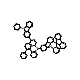 c1ccc(-c2ccccc2-c2ccccc2N(c2ccc(-c3ccc4c(c3)c3ccccc3n4-c3ccccc3)cc2)c2ccc3c(c2)c2cccc4c2n3-c2ccccc2C42c3ccccc3-c3ccccc32)cc1